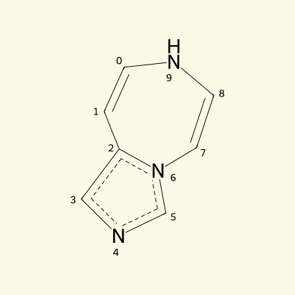 C1=Cc2cncn2C=CN1